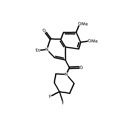 CCn1cc(C(=O)N2CCC(F)(F)CC2)c2cc(OC)c(OC)cc2c1=O